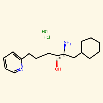 Cl.Cl.N[C@@H](CC1CCCCC1)[C@@H](O)CCCc1ccccn1